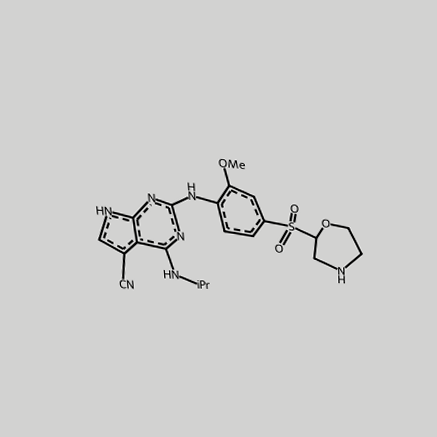 COc1cc(S(=O)(=O)C2CNCCO2)ccc1Nc1nc(NC(C)C)c2c(C#N)c[nH]c2n1